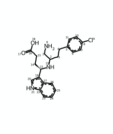 NCC(CCc1ccc(Cl)cc1)N[C@H](CCC(=O)O)c1c[nH]c2ccccc12